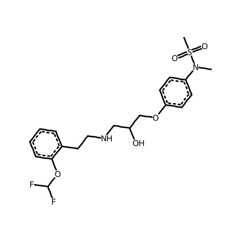 CN(c1ccc(OCC(O)CNCCc2ccccc2OC(F)F)cc1)S(C)(=O)=O